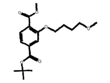 COCCCCOc1cc(C(=O)OC(C)(C)C)ccc1C(=O)OC